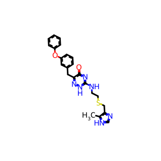 Cc1[nH]cnc1CSCCNc1nc(=O)c(Cc2cccc(Oc3ccccc3)c2)n[nH]1